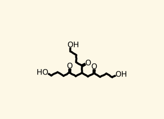 O=C(CCCO)CC(CC(=O)CCCO)C(=O)CCCO